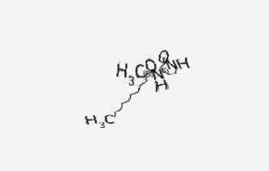 CCCCCCCCCC[C@H](C)C(=O)N[C@H]1CCCNC(=O)C1